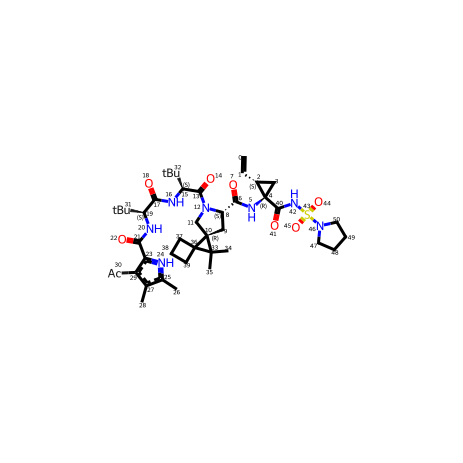 C=C[C@@H]1C[C@]1(NC(=O)[C@@H]1C[C@@]2(CN1C(=O)[C@@H](NC(=O)[C@@H](NC(=O)c1[nH]c(C)c(C)c1C(C)=O)C(C)(C)C)C(C)(C)C)C(C)(C)C21CCC1)C(=O)NS(=O)(=O)N1CCCC1